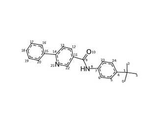 CC(C)(C)c1ccc(NC(=O)c2ccc(-c3ccccc3)nc2)cc1